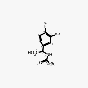 CC(C)(C)C(=O)NC(C(=O)O)c1ccc(F)c(F)c1